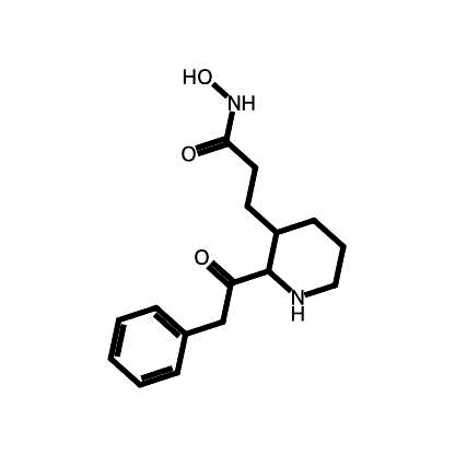 O=C(CCC1CCCNC1C(=O)Cc1ccccc1)NO